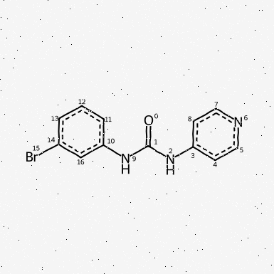 O=C(Nc1ccncc1)Nc1cccc(Br)c1